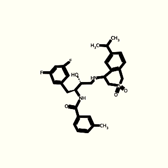 Cc1cccc(C(=O)N[C@@H](Cc2cc(F)cc(F)c2)[C@H](O)CNC2CS(=O)(=O)Cc3ccc(C(C)C)cc32)c1